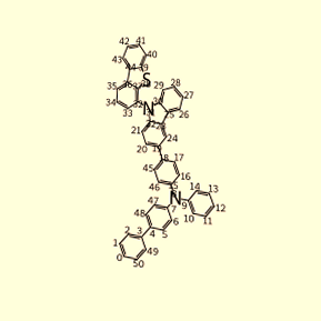 c1ccc(-c2ccc(N(c3ccccc3)c3ccc(-c4ccc5c(c4)c4ccccc4n5-c4cccc5c4sc4ccccc45)cc3)cc2)cc1